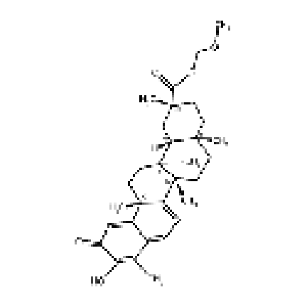 COCOC(=O)[C@]1(C)CC[C@]2(C)CC[C@]3(C)C4=CC=C5C(=CC(=O)C(O)=C5C)[C@]4(C)CC[C@@]3(C)[C@@H]2C1